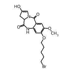 COc1cc2c(cc1OCCCCCBr)NC(=O)C1CC(O)=CN1C2=O